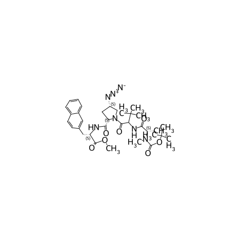 COC(=O)[C@H](Cc1ccc2ccccc2c1)NC(=O)[C@@H]1C[C@H](N=[N+]=[N-])CN1C(=O)C(NC(=O)[C@H](C)N(C)C(=O)OC(C)(C)C)C(C)(C)C